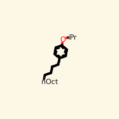 CCCCCCCCCCCCc1ccc(OC(C)C)cc1